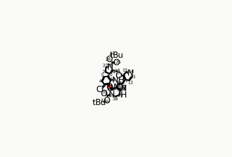 COc1c(Cl)cccc1Nc1c(-c2ccncc2OC[C@H]2CCCN2C(=O)OC(C)(C)C)[nH]c2c1C(=O)N(C(=O)OC(C)(C)C)CC2